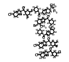 CN(C)c1ccc2nc(C(=O)c3ccccc3)cn2c1.Cc1c(Br)ccc2nc(C(=O)c3ccccc3)cn12.Cc1cccc2nc(C(=O)c3ccccc3)cn12.O=C(c1cc(F)cc(F)c1)c1cn2cc(Cl)ccc2n1.O=C(c1ccc(F)c(F)c1)c1cn2cc(Cl)ccc2n1.O=C(c1cccc(Cl)c1)c1cn2cc(Cl)ccc2n1